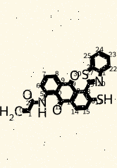 C=CC(=O)Nc1cccc2c1C(=O)c1ccc(S)c(-c3nc4ccccc4s3)c1C2=O